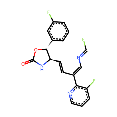 O=C1N[C@H](/C=C/C(=C\N=C\F)c2ncccc2F)[C@@H](c2cccc(F)c2)O1